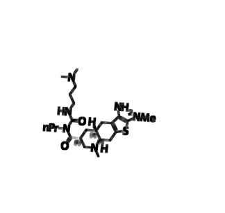 CCCN(C(=O)NCCCN(C)C)C(=O)[C@@H]1C[C@@H]2Cc3c(sc(NC)c3N)C[C@H]2N(C)C1